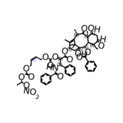 CC1=C2[C@@H](C)C(=O)[C@@]3(C)C([C@H](OC(=O)c4ccccc4)[C@](O)(C[C@@H]1OC(=O)[C@H](OC(=O)OC/C=C\COC(=O)OC(C)O[N+](=O)[O-])[C@@H](NC(=O)c1ccccc1)c1ccccc1)C2(C)C)[C@]1(C)CO[C@@H]1C[C@@H]3O